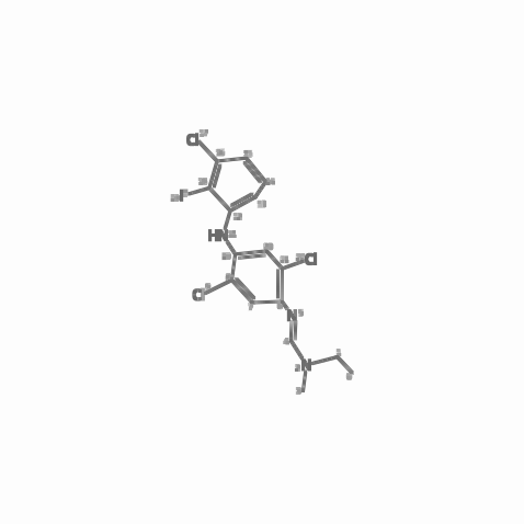 CCN(C)C=Nc1cc(Cl)c(Nc2cccc(Cl)c2F)cc1Cl